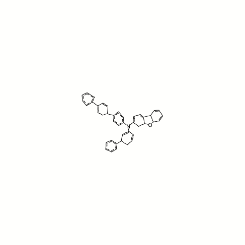 C1=CC2OC3CC(N(C4=CC(c5ccccc5)CC=C4)c4ccc(C5C=CC(c6ccccc6)=CC5)cc4)=CC=C3C2C=C1